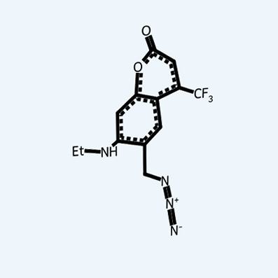 CCNc1cc2oc(=O)cc(C(F)(F)F)c2cc1CN=[N+]=[N-]